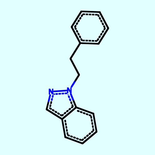 c1ccc(CCn2ncc3ccccc32)cc1